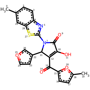 Cc1ccc2nc(N3C(=O)C(O)=C(C(=O)c4ccc(C)o4)C3c3ccoc3)sc2c1